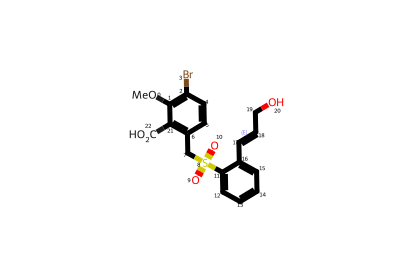 COc1c(Br)ccc(CS(=O)(=O)c2ccccc2/C=C/CO)c1C(=O)O